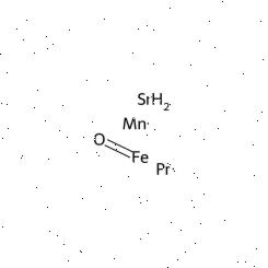 [Mn].[O]=[Fe].[Pr].[SrH2]